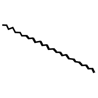 [CH]=C/C=C/C=C/C=C/C=C/C=C/C=C/C=C/C=C/C=C/C=C/CCCCCCC